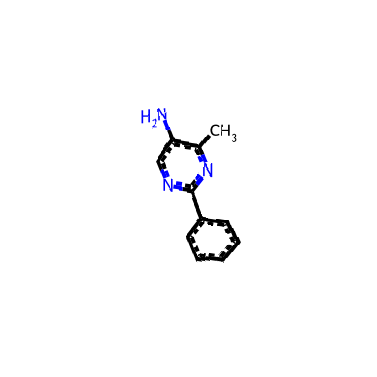 Cc1nc(-c2ccccc2)ncc1N